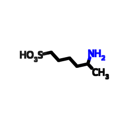 CC(N)CCCCS(=O)(=O)O